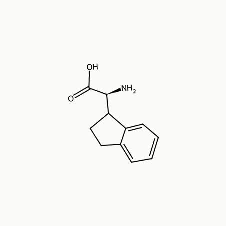 N[C@H](C(=O)O)C1CCc2ccccc21